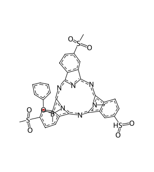 CB(Oc1ccccc1)n1c2nc3nc(nc4c5ccc([SH](=O)=O)cc5c(nc1c1ccc(S(C)(=O)=O)cc12)n4C)-c1cc(S(C)(=O)=O)ccc1-3